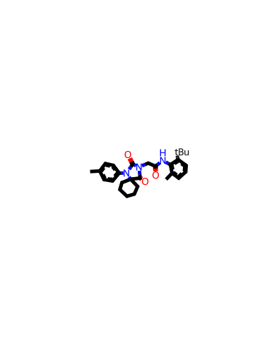 Cc1ccc(N2C(=O)N(CC(=O)Nc3c(C)cccc3C(C)(C)C)C(=O)C23CCCCC3)cc1